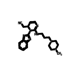 CN1CCN(CCCNC2=NC=CC(CC#N)N2c2nc3ccccc3s2)CC1